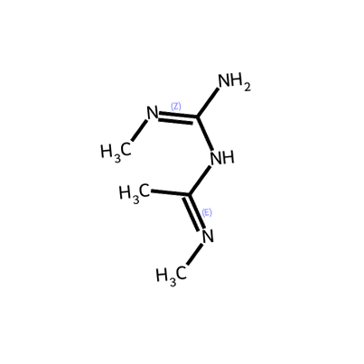 C/N=C(/N)N/C(C)=N/C